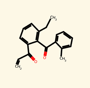 C=CC(=O)c1cccc(CC)c1C(=O)c1ccccc1C